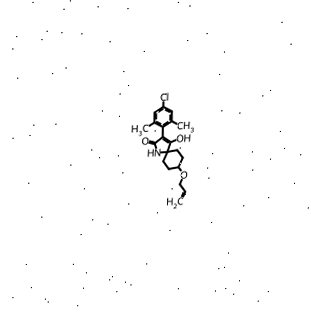 C=CCOC1CCC2(CC1)NC(=O)C(c1c(C)cc(Cl)cc1C)=C2O